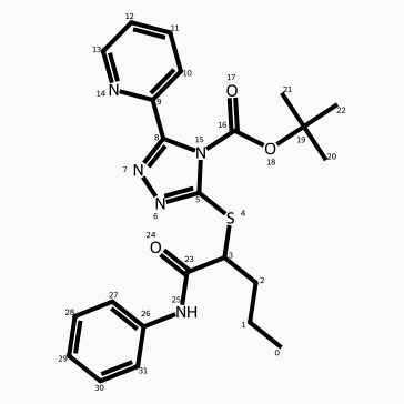 CCCC(Sc1nnc(-c2ccccn2)n1C(=O)OC(C)(C)C)C(=O)Nc1ccccc1